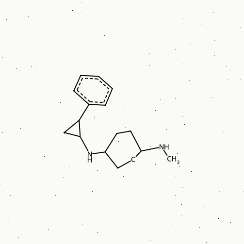 CNC1CCC(NC2CC2c2ccccc2)CC1